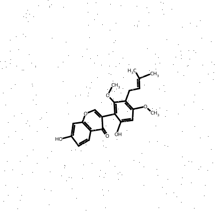 COc1cc(O)c(-c2coc3cc(O)ccc3c2=O)c(OC)c1CC=C(C)C